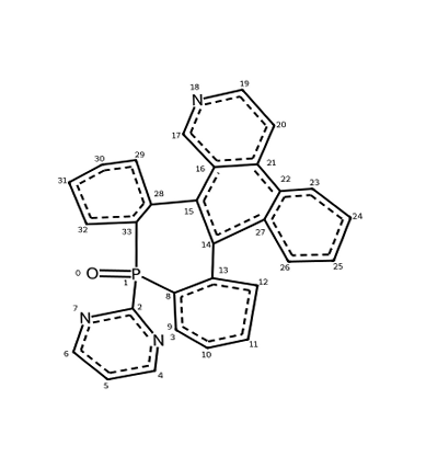 O=P1(c2ncccn2)c2ccccc2-c2c(c3cnccc3c3ccccc23)-c2ccccc21